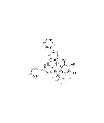 CC1(C)C(F)(F)c2c(C#N)c(C#N)c(C#N)c(-n3c4ccc(-c5ccccc5)cc4c4cc(-c5ccccc5)ccc43)c2C1(F)F